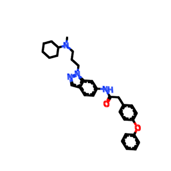 CN(CCCn1ncc2ccc(NC(=O)Cc3ccc(Oc4ccccc4)cc3)cc21)C1CCCCC1